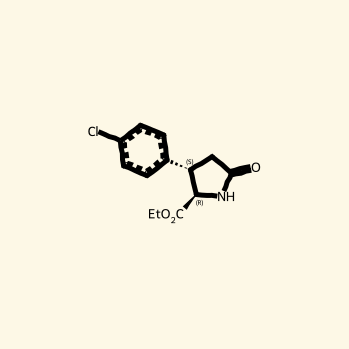 CCOC(=O)[C@@H]1NC(=O)C[C@H]1c1ccc(Cl)cc1